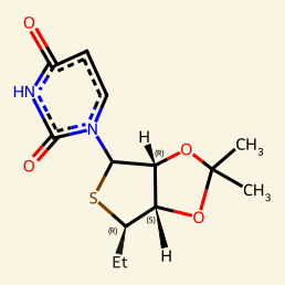 CC[C@H]1SC(n2ccc(=O)[nH]c2=O)[C@@H]2OC(C)(C)O[C@H]12